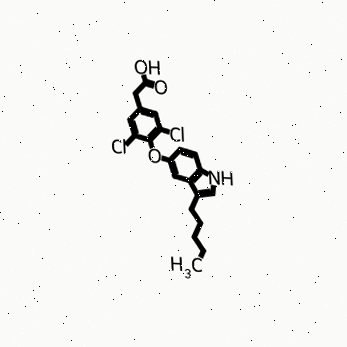 CCCCCc1c[nH]c2ccc(Oc3c(Cl)cc(CC(=O)O)cc3Cl)cc12